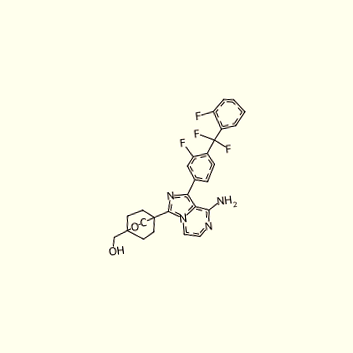 Nc1nccn2c(C34CCC(CO)(CC3)OC4)nc(-c3ccc(C(F)(F)c4ccccc4F)c(F)c3)c12